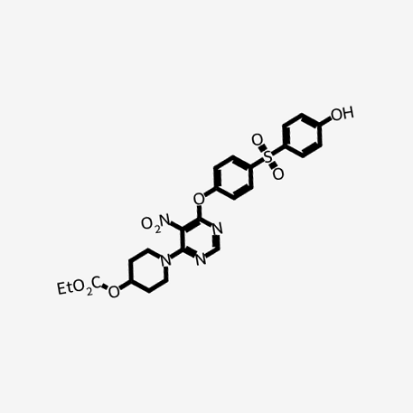 CCOC(=O)OC1CCN(c2ncnc(Oc3ccc(S(=O)(=O)c4ccc(O)cc4)cc3)c2[N+](=O)[O-])CC1